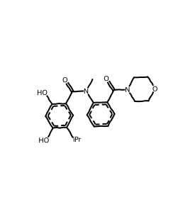 CC(C)c1cc(C(=O)N(C)c2ccccc2C(=O)N2CCOCC2)c(O)cc1O